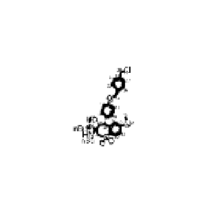 CCCCNC1(NCCCC)CS(=O)(=O)c2ccc(N(C)C)cc2[C@@H](c2ccc(OCc3ccc(CCl)cc3)cc2)[C@H]1O